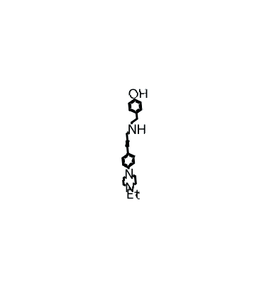 CCN1CCN(c2ccc(C#CCNCCc3ccc(O)cc3)cc2)CC1